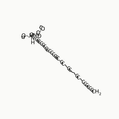 C=C=C=C=C=C=C=C=C=C=C=C=C=C=C=C=C=C=C=C=C=C=C=C=C=C=C=C=C=C=C=C=C=C=C=C(NC(=O)CCc1ccco1)NC(=O)OCc1ccco1